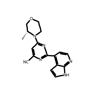 C[C@@H]1COCCN1c1cc(C#N)nc(-c2ccnc3[nH]ccc23)n1